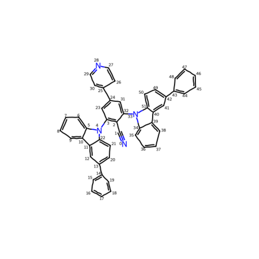 N#Cc1c(-n2c3ccccc3c3cc(-c4ccccc4)ccc32)cc(-c2ccncc2)cc1-n1c2ccccc2c2cc(-c3ccccc3)ccc21